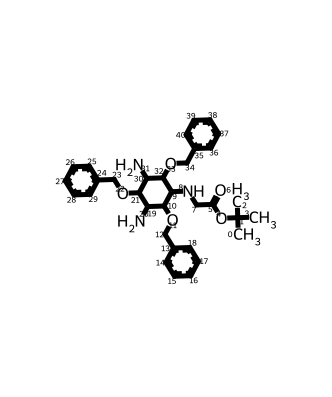 CC(C)(C)OC(=O)CNC1C(OCc2ccccc2)C(N)C(OCc2ccccc2)C(N)C1OCc1ccccc1